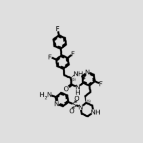 Nc1ccc(S(=O)(=O)N2CCNC[C@@H]2CCc2c(F)cncc2NC(=O)[C@@H](N)Cc2cc(F)c(-c3ccc(F)cc3)c(F)c2)cn1